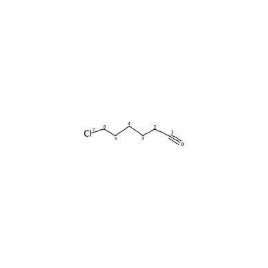 C#CCCCCCCl